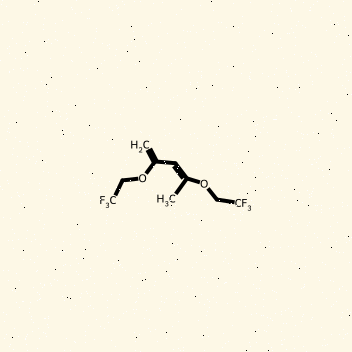 C=C(/C=C(\C)OCC(F)(F)F)OCC(F)(F)F